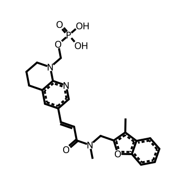 Cc1c(CN(C)C(=O)/C=C/c2cnc3c(c2)CCCN3COP(=O)(O)O)oc2ccccc12